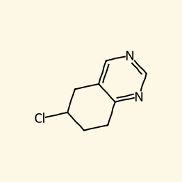 ClC1CCc2ncncc2C1